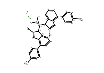 CCC1=Cc2c(-c3ccc(C(F)(F)F)cc3)cccc2[CH]1[Zr+2]([CH]1C(CC)=Cc2c(-c3ccc(C(F)(F)F)cc3)cccc21)=[Ge]([CH3])[CH3].[Cl-].[Cl-]